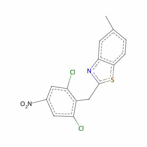 Cc1ccc2sc(Cc3c(Cl)cc([N+](=O)[O-])cc3Cl)nc2c1